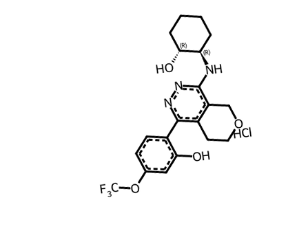 Cl.Oc1cc(OC(F)(F)F)ccc1-c1nnc(N[C@@H]2CCCC[C@H]2O)c2c1CCOC2